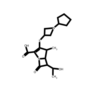 CC(O)C1C(=O)N2C(C(=O)O)=C(SC3CN(C4CCCC4)C3)C(C)C12